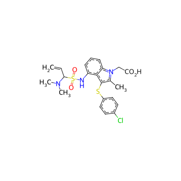 C=CC(N(C)C)S(=O)(=O)Nc1cccc2c1c(Sc1ccc(Cl)cc1)c(C)n2CC(=O)O